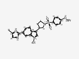 CCn1cc(C2CCN(S(=O)(=O)c3ccc(OC(C)C)cc3)C2)c2ccc(-c3ncc(C)o3)cc21